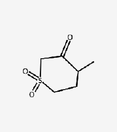 CC1CCS(=O)(=O)CC1=O